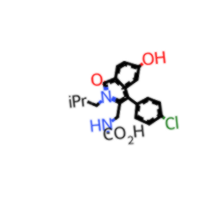 CC(C)Cn1c(CNC(=O)O)c(-c2ccc(Cl)cc2)c2cc(O)ccc2c1=O